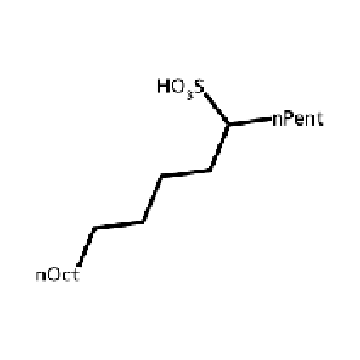 [CH2]CCCCCCCCCCCC(CCCCC)S(=O)(=O)O